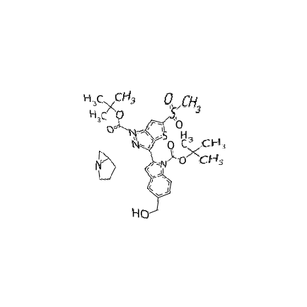 C1CC2CN2C1.CC(C)(C)OC(=O)n1nc(-c2cc3cc(CO)ccc3n2C(=O)OC(C)(C)C)c2sc(S(C)(=O)=O)cc21